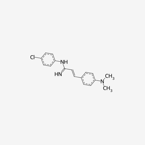 CN(C)c1ccc(/C=C/C(=N)Nc2ccc(Cl)cc2)cc1